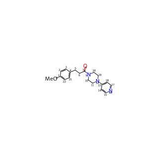 COc1ccc(CCC(=O)N2CCN(c3ccncc3)CC2)cc1